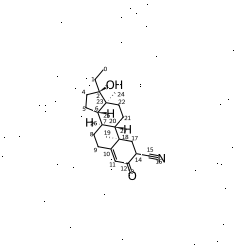 CC[C@@]1(O)CC[C@H]2[C@@H]3CCC4=CC(=O)C(C#N)C[C@]4(C)[C@H]3CC[C@@]21C